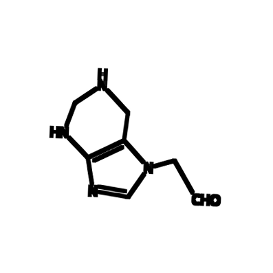 O=CCn1cnc2c1CNCN2